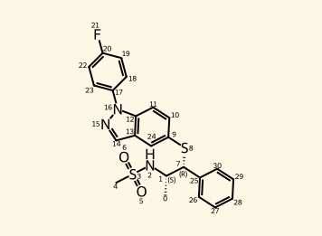 C[C@H](NS(C)(=O)=O)[C@H](Sc1ccc2c(cnn2-c2ccc(F)cc2)c1)c1ccccc1